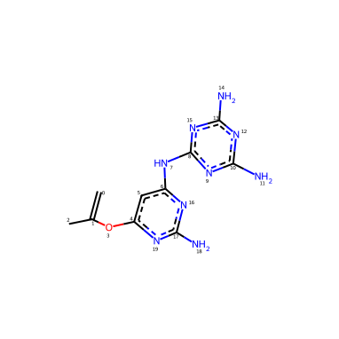 C=C(C)Oc1cc(Nc2nc(N)nc(N)n2)nc(N)n1